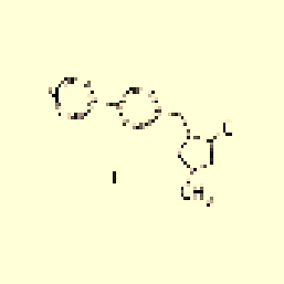 CC1CC(Cl)C(Cc2ccc(-c3ccncc3)cc2)C1.[H+]